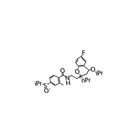 CCC[C@@]1(CCNC(=O)c2ccc([S+]([O-])C(C)C)cc2C)CC(OC(C)C)c2cc(F)ccc2O1